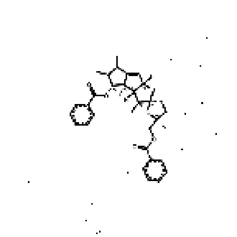 CC1C2=C[C@@H]3O[C@]4(CC[C@@](C)(COC(=O)c5ccccc5)O4)[C@@H](C)[C@@H]3[C@@]2(C)[C@H](OC(=O)c2ccccc2)C1C